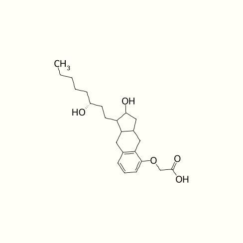 CCCCC[C@@H](O)CCC1C(O)CC2Cc3c(cccc3OCC(=O)O)CC21